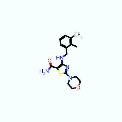 Cc1c(CNc2nc(N3CCOCC3)sc2C(N)=O)cccc1C(F)(F)F